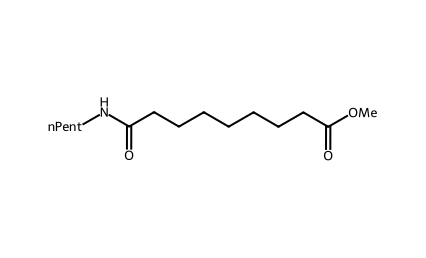 CCCCCNC(=O)CCCCCCCC(=O)OC